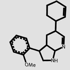 COc1ccccc1C1CNC2N=CC(C3C=CCCC3)CC21